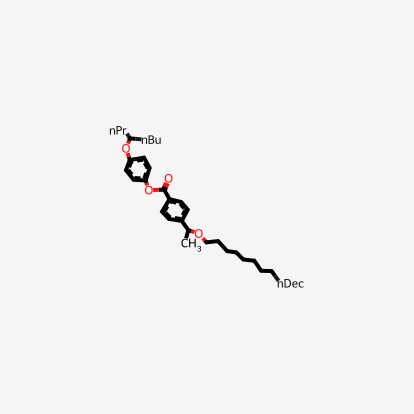 CCCCCCCCCCCCCCCCCCOC(C)c1ccc(C(=O)Oc2ccc(OC(CCC)CCCC)cc2)cc1